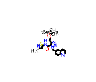 Cc1cc(NC(=O)c2c(CCO[Si](C)(C)C(C)(C)C)nnn2Cc2ccc3ncccc3c2)sn1